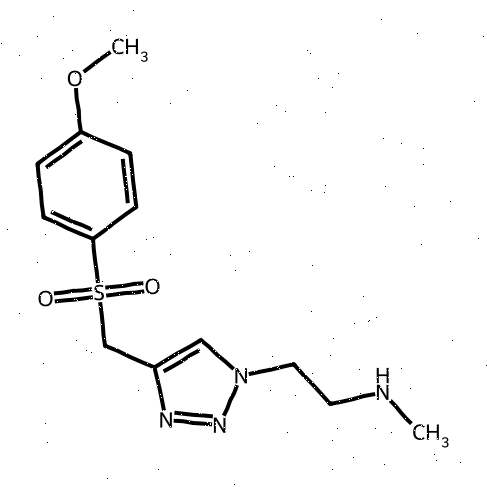 CNCCn1cc(CS(=O)(=O)c2ccc(OC)cc2)nn1